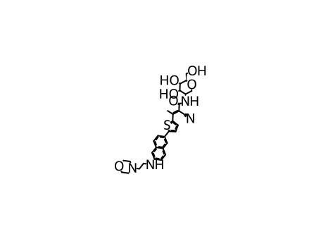 C/C(=C(/C#N)C(=O)N[C@H]1CO[C@H](CO)[C@@H](O)[C@@H]1O)c1ccc(-c2ccc3cc(NCCN4CCOCC4)ccc3c2)s1